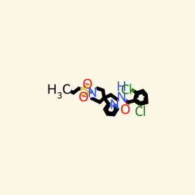 CCCS(=O)(=O)N1CCC(CCNC(=O)c2c(Cl)cccc2Cl)(c2ccccn2)CC1